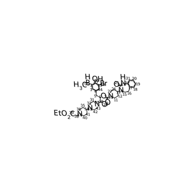 CBc1cc(C[C@@H](OC(=O)N2CCC(N3CCc4ccccc4NC3=O)CC2)C(=O)N2CCN(C3CCN(CC(=O)OCC)CC3)CC2)cc(Br)c1O